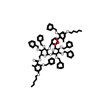 CCCCCOc1cc(C)c(C(=O)OCC2OC(OC3OC(COC(=O)c4c(C)cc(OCCCCC)cc4OCc4ccccc4)C(OCc4ccccc4)C(OCc4ccccc4)C3OCc3ccccc3)C(OCc3ccccc3)C(OCc3ccccc3)C2OCc2ccccc2)c(OCc2ccccc2)c1